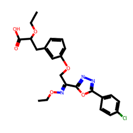 CCO/N=C(\COc1cccc(CC(OCC)C(=O)O)c1)c1nnc(-c2ccc(Cl)cc2)o1